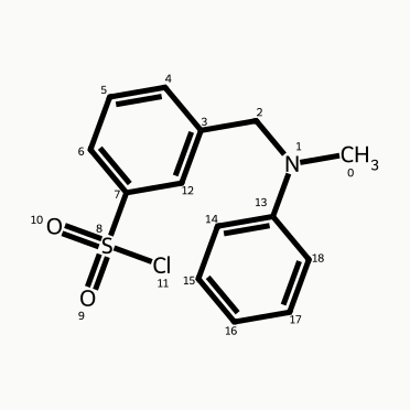 CN(Cc1cccc(S(=O)(=O)Cl)c1)c1ccccc1